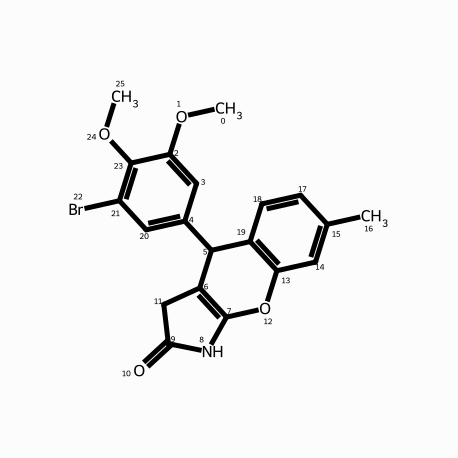 COc1cc(C2C3=C(NC(=O)C3)Oc3cc(C)ccc32)cc(Br)c1OC